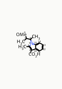 COC(C)C(C)n1c(C)c(C(=O)O)c2ccccc21